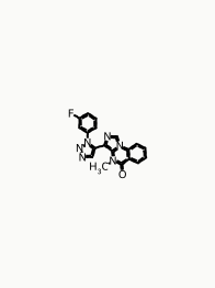 Cn1c(=O)c2ccccc2n2cnc(-c3cnnn3-c3cccc(F)c3)c12